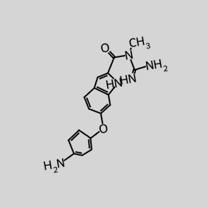 CN(C(=N)N)C(=O)c1cc2ccc(Oc3ccc(N)cc3)cc2[nH]1